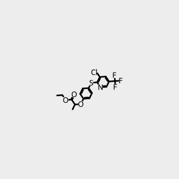 CCOC(=O)C(C)Oc1ccc(Sc2ncc(C(F)(F)F)cc2Cl)cc1